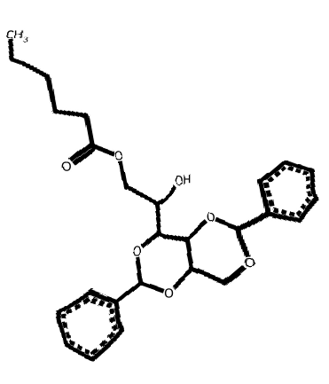 CCCCCC(=O)OCC(O)C1OC(c2ccccc2)OC2COC(c3ccccc3)OC21